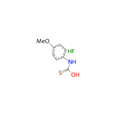 COc1ccc(NC(O)=S)cc1.F